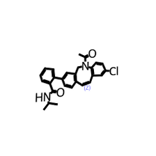 CC(=O)N1Cc2cc(-c3ccccc3C(=O)NC(C)C)ccc2/C=C\c2cc(Cl)ccc21